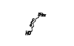 CCCCCCCCCCCCCO.O=C=O